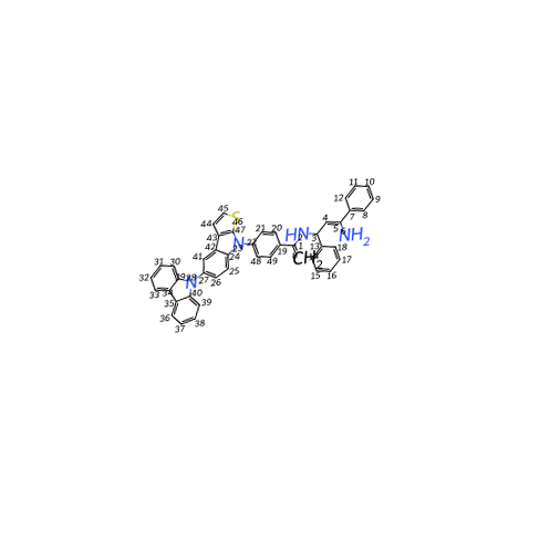 C=C(NC(/C=C(\N)c1ccccc1)c1ccccc1)c1ccc(-n2c3ccc(-n4c5ccccc5c5ccccc54)cc3c3ccsc32)cc1